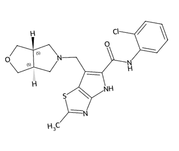 Cc1nc2[nH]c(C(=O)Nc3ccccc3Cl)c(CN3C[C@H]4COC[C@@H]4C3)c2s1